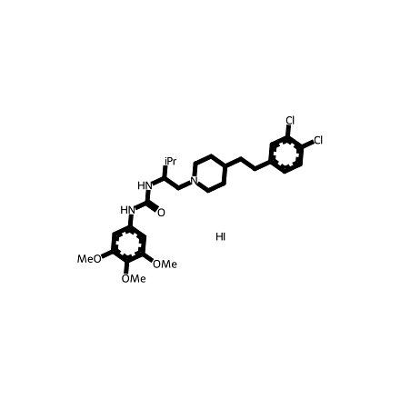 COc1cc(NC(=O)NC(CN2CCC(CCc3ccc(Cl)c(Cl)c3)CC2)C(C)C)cc(OC)c1OC.I